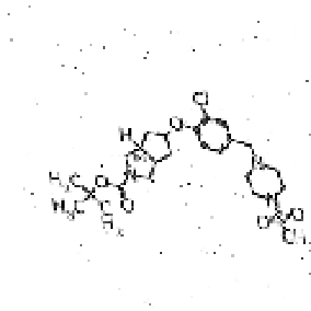 CC(C)(C)OC(=O)N1CC2CC(Oc3ccc(CN4CCN(S(C)(=O)=O)CC4)cc3Cl)C[C@H]2C1